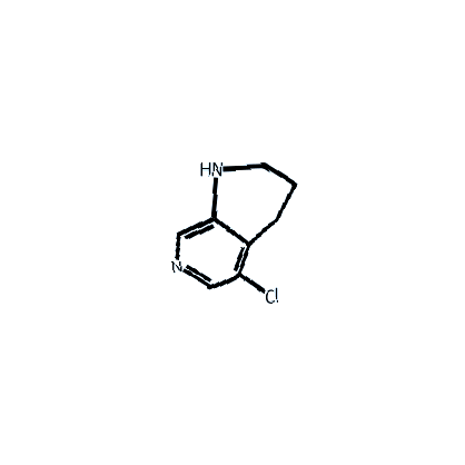 Clc1cncc2c1CCCN2